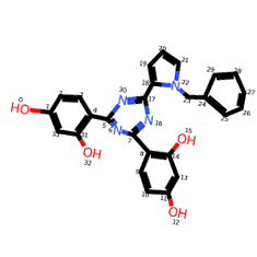 Oc1ccc(-c2nc(-c3ccc(O)cc3O)nc(-c3cccn3Cc3ccccc3)n2)c(O)c1